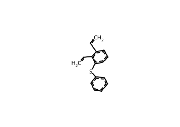 C=Cc1cccc(Sc2ccccc2)c1C=C